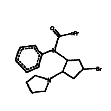 CCCC(=O)N(c1ccccc1)C1CC(Br)CC1N1CCCC1